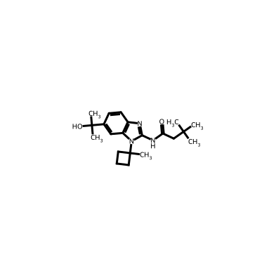 CC(C)(C)CC(=O)Nc1nc2ccc(C(C)(C)O)cc2n1C1(C)CCC1